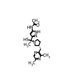 CC(=O)Nc1cc([C@](C)(S)N2CC[C@H](Cc3ncc(C)nc3C)C2)n[nH]1